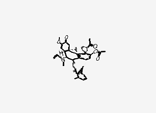 CCN(C)[C@H]1[C@H](Sc2ccccc2C)c2ccc(OC(C)=O)c(OC(C)=O)c2[C@]2(I)CC(=O)C(OC)=C[C@H]12